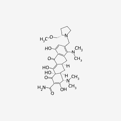 COC[C@@H]1CCCN1Cc1cc(O)c2c(c1N(C)C)C[C@H]1C[C@H]3[C@H](N(C)C)C(O)=C(C(N)=O)C(=O)[C@@]3(O)C(O)=C1C2=O